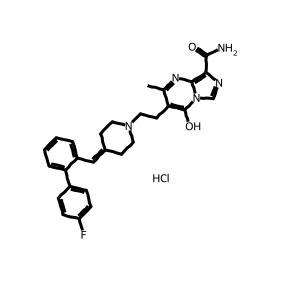 Cc1nc2c(C(N)=O)ncn2c(O)c1CCN1CCC(=Cc2ccccc2-c2ccc(F)cc2)CC1.Cl